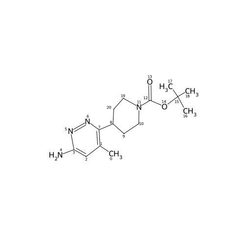 Cc1cc(N)nnc1C1CCN(C(=O)OC(C)(C)C)CC1